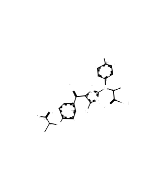 CC(Oc1ccc(C(=O)c2sc(N(c3ccc(F)cc3)C(C)C(N)=O)nc2N)cc1)C(N)=O